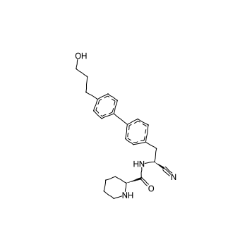 N#C[C@H](Cc1ccc(-c2ccc(CCCO)cc2)cc1)NC(=O)[C@@H]1CCCCN1